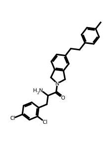 Cc1ccc(CCc2ccc3c(c2)CN(C(=O)C(N)Cc2ccc(Cl)cc2Cl)C3)cc1